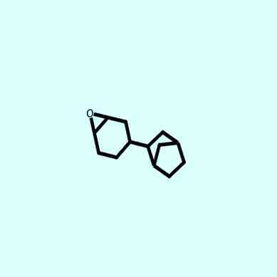 C1CC2CC1CC2C1CCC2OC2C1